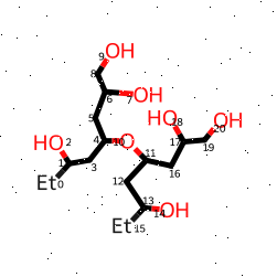 CCC(O)CC(CC(O)CO)OC(CC(O)CC)CC(O)CO